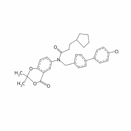 CC1(C)OC(=O)c2cc(N(Cc3ccc(-c4ccc(Cl)cc4)cc3)C(=O)CCC3CCCC3)ccc2O1